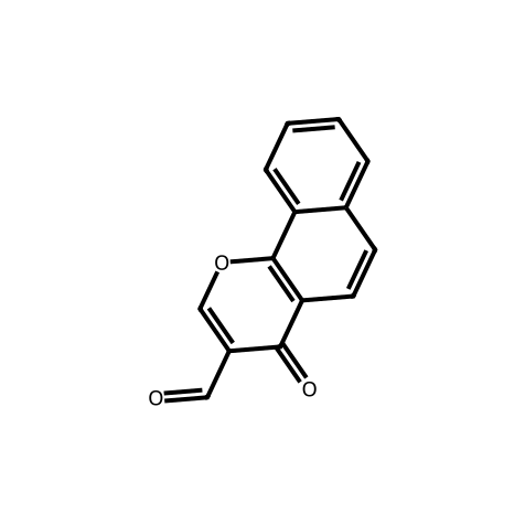 O=Cc1coc2c(ccc3ccccc32)c1=O